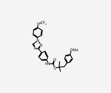 COc1ccc(CC(C)(C)OC(=O)Nc2ccc(-c3ncn(-c4ccc(OC(F)(F)F)cc4)n3)cc2)cc1